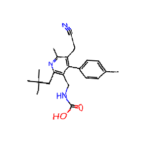 Cc1ccc(-c2c(CC#N)c(C)nc(CC(C)(C)C)c2CNC(=O)O)cc1